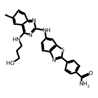 Cc1ccc2nc(Nc3ccc4nc(-c5ccc(C(N)=O)cc5)sc4c3)nc(NCCCO)c2c1